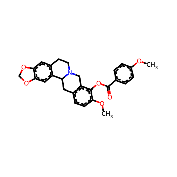 COc1ccc(C(=O)Oc2c(OC)ccc3c2CN2CCc4cc5c(cc4C2C3)OCO5)cc1